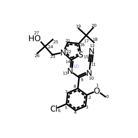 COc1ccc(Cl)cc1C(=NC#N)/N=c1\sc(C(C)(C)C)cn1CC(C)(C)O